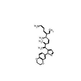 C=C/C(=C\C=C/N)N(N)/C=C\C(=C)C(=C)c1ccnn1-c1ccc2c(c1)OCCO2